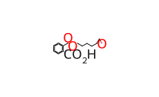 O=C(O)c1ccccc1C(=O)OCCCCC1CO1